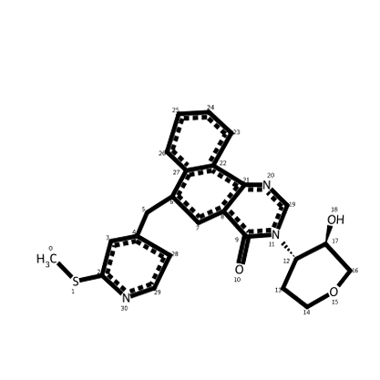 CSc1cc(Cc2cc3c(=O)n([C@H]4CCOC[C@@H]4O)cnc3c3ccccc23)ccn1